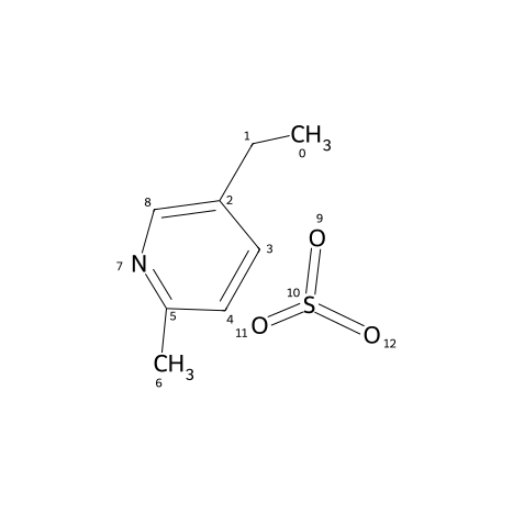 CCc1ccc(C)nc1.O=S(=O)=O